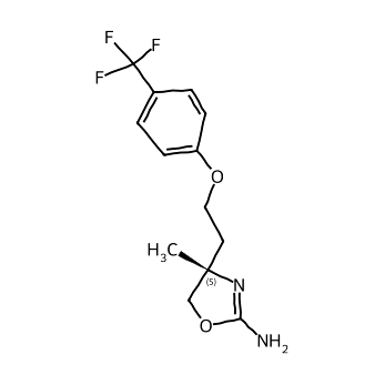 C[C@]1(CCOc2ccc(C(F)(F)F)cc2)COC(N)=N1